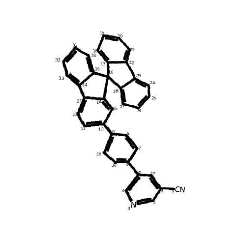 N#Cc1cncc(-c2ccc(-c3ccc4c(c3)C3(c5ccccc5-c5ccccc53)c3ccccc3-4)cc2)c1